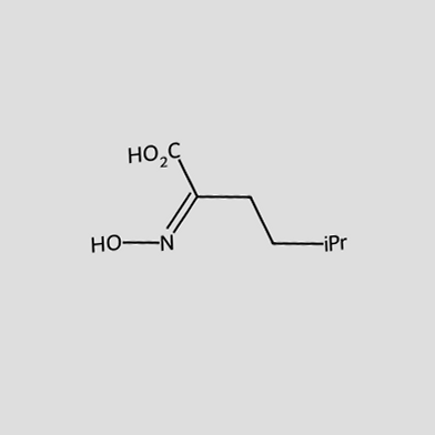 CC(C)CCC(=NO)C(=O)O